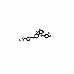 CN(C)[C@@H]1CCN(CCC2CCc3c(sc4ncnc(Nc5ccc(F)c(Cl)c5)c34)C2)C1